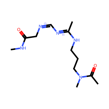 CNC(=O)C/N=C\N=C(/C)NCCCN(C)C(C)=O